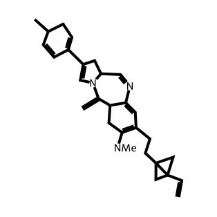 C=CC12CC1(CCC1=C(NC)CC3C(=C)N4C=C(C5=CCC(C)C=C5)CC4C=NC3=C1)C2